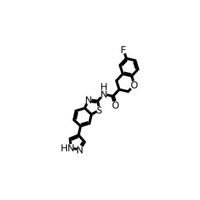 O=C(NC1=NC2C=CC(c3cn[nH]c3)=CC2S1)C1COc2ccc(F)cc2C1